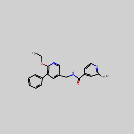 CC(=O)Nc1cc(C(=O)NCc2cnc(OCC(F)(F)F)c(-c3ccccc3)c2)ccn1